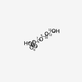 COP(=O)(O)OCCOCCOCCO